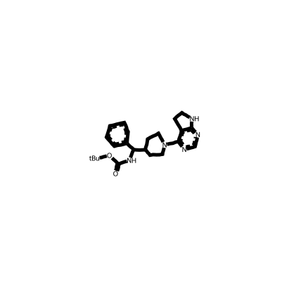 CC(C)(C)OC(=O)NC(c1ccccc1)C1CCN(c2ncnc3c2CCN3)CC1